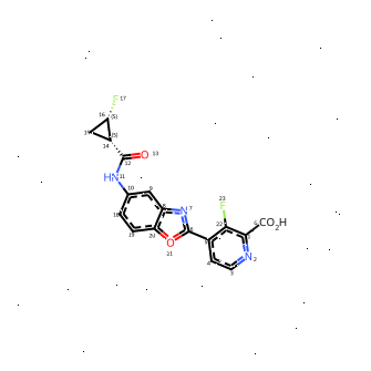 O=C(O)c1nccc(-c2nc3cc(NC(=O)[C@@H]4C[C@@H]4F)ccc3o2)c1F